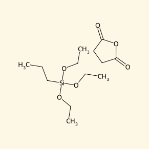 CCC[Si](OCC)(OCC)OCC.O=C1CCC(=O)O1